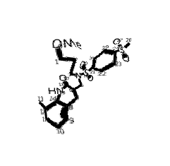 COCCCN(Cc1cc2cccc(C)c2[nH]c1=O)S(=O)(=O)c1ccc(S(C)(=O)=O)cc1